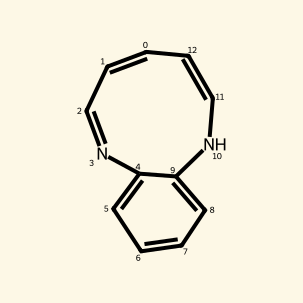 c1ccnc2ccccc2[nH]cc1